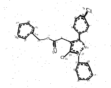 O=C(Cc1c(-c2ccc(Cl)cc2)nn(-c2ccccc2)c1Cl)OCc1ccccc1